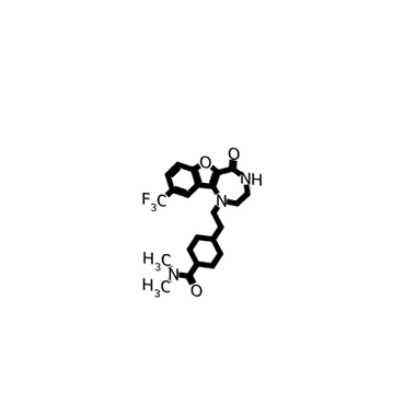 CN(C)C(=O)C1CCC(CCN2CCNC(=O)c3oc4ccc(C(F)(F)F)cc4c32)CC1